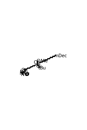 CCCCCCCCCCCCCCCCCCCCCCCC[C@@H](C(=O)OC)[C@@H](CCCCCCCCCS(=O)(=O)c1nnnn1-c1ccccc1)O[Si](C)(C)C(C)(C)C